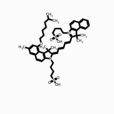 Cc1cc(OCCCCCC(C)C)c2c3c(ccc2c1)N(CCCCS(=O)(=O)O)/C(=C/C=C/C=C/C1=[N+](CCCCS(=O)(=O)O)c2ccc4ccccc4c2C1(C)C)C3(C)C